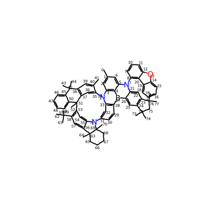 Cc1cc2c3c(c1)N(c1cccc4oc5ccccc5c14)c1cc4c(cc1B3c1ccc3cc1N2c1cc2c(cc1C)C(C)(C)c1ccccc1C2(C)c1cc2c(cc1C(C)(C)C)C1(C)CCCCC1(C)N32)C(C)(C)CC4(C)C